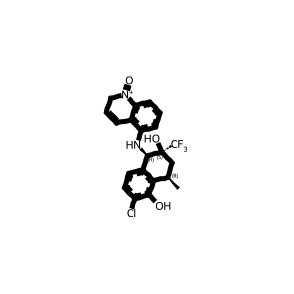 C[C@@H]1C[C@@](O)(C(F)(F)F)[C@H](Nc2cccc3c2C=CC[N+]3=O)c2ccc(Cl)c(O)c21